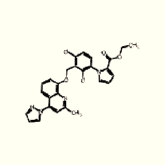 CCOC(=O)c1cccn1-c1ccc(Cl)c(COc2cccc3c(-n4cccn4)cc(C)nc23)c1Cl